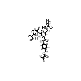 CCC(C)C(=O)N[C@H](C(=O)N[C@@H](CCCNC(N)=O)C(=O)Nc1ccc(COC(=O)C(C)C)cc1)C(C)C